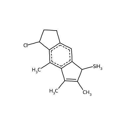 CC1=C(C)C([SiH3])c2cc3c(c(C)c21)C(Cl)CC3